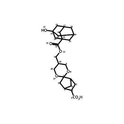 O=C(O)C1CC2CC1CC21OCC(COC(=O)C23CC4CC(CC(O)(C4)C2)C3)CO1